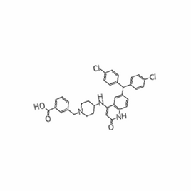 O=C(O)c1cccc(CN2CCC(Nc3cc(=O)[nH]c4ccc(C(c5ccc(Cl)cc5)c5ccc(Cl)cc5)cc34)CC2)c1